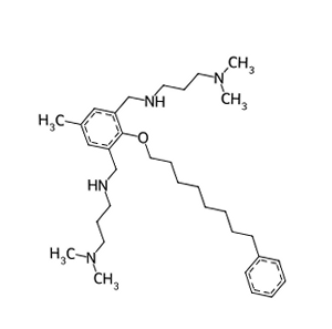 Cc1cc(CNCCCN(C)C)c(OCCCCCCCCc2ccccc2)c(CNCCCN(C)C)c1